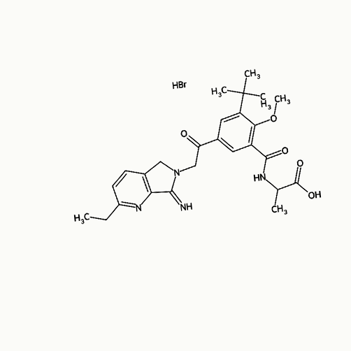 Br.CCc1ccc2c(n1)C(=N)N(CC(=O)c1cc(C(=O)NC(C)C(=O)O)c(OC)c(C(C)(C)C)c1)C2